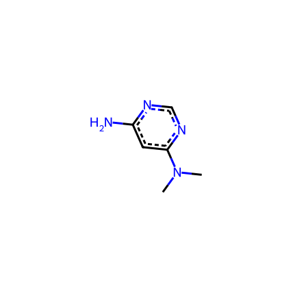 CN(C)c1cc(N)ncn1